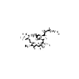 CCOC(=O)C1OC1C(=O)N(CC(N)=O)NC(=O)[C@H](C)NC(=O)[C@H](C)CC(=O)C(C)NCCN(CC)CC